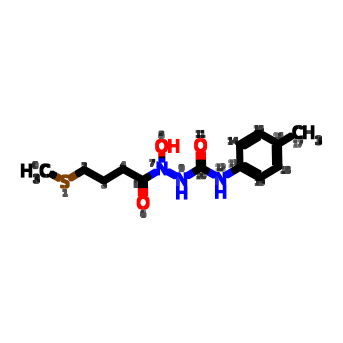 CSCCCC(=O)N(O)NC(=O)Nc1ccc(C)cc1